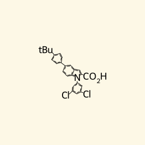 CC(C)(C)c1ccc(-c2ccc3c(c2)cc(C(=O)O)n3-c2cc(Cl)cc(Cl)c2)cc1